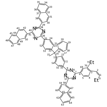 CC/C=C\c1ccc(-c2nc(-c3ccc(C(C)(c4ccccc4)c4ccc(-c5nc(-c6ccc7ccccc7c6)nc(-c6ccc7ccccc7c6)n5)cc4)cc3)nc(-c3ccc4ccccc4c3)n2)cc1CC